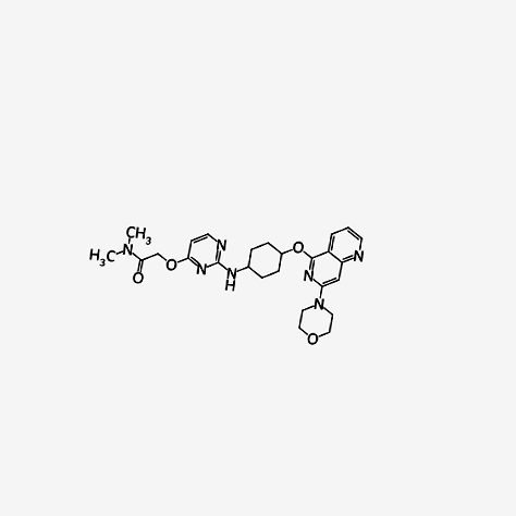 CN(C)C(=O)COc1ccnc(NC2CCC(Oc3nc(N4CCOCC4)cc4ncccc34)CC2)n1